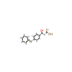 O=C(CC(=S)S)c1ccc(Sc2ccccc2)cc1